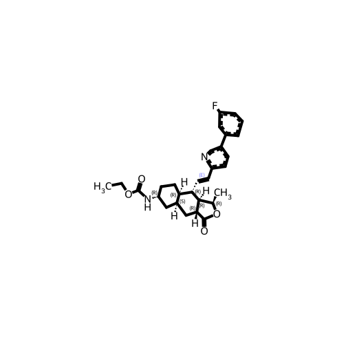 CCOC(=O)N[C@@H]1CC[C@@H]2[C@H](C1)C[C@H]1C(=O)O[C@H](C)[C@@H]1[C@H]2/C=C/c1ccc(-c2cccc(F)c2)cn1